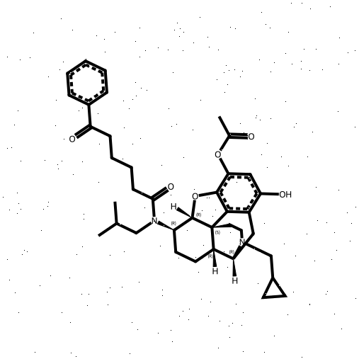 CC(=O)Oc1cc(O)c2c3c1O[C@H]1[C@H](N(CC(C)C)C(=O)CCCCC(=O)c4ccccc4)CC[C@H]4[C@@H](C2)N(CC2CC2)CC[C@@]341